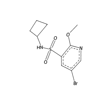 COc1ncc(Br)cc1S(=O)(=O)NC1CCC1